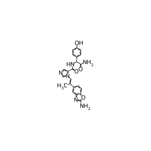 C/C(=C\n1cncc1C(=O)NC(C(N)=O)c1ccc(O)cc1)c1ccc2oc(N)nc2c1